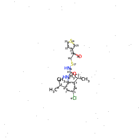 CC(C)c1cc(Cl)cc(C(C)C)c1NC(=O)NSCC(=O)c1ccsc1